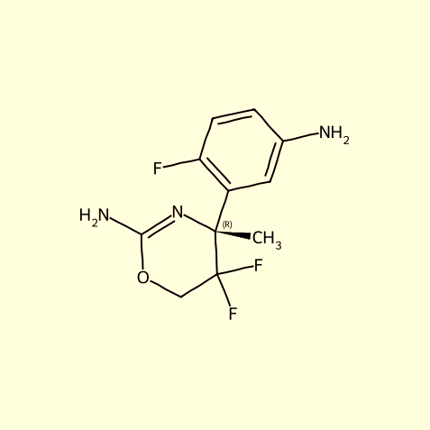 C[C@]1(c2cc(N)ccc2F)N=C(N)OCC1(F)F